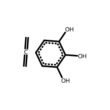 C=C=C.Oc1cccc(O)c1O